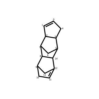 C1=CC2C(C1)C1CC2C2C3CC=C(C3)C12